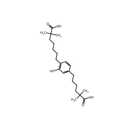 CC(C)(CCCCCc1ccc(CCCCC(C)(C)C(=O)O)cc1O)C(=O)O